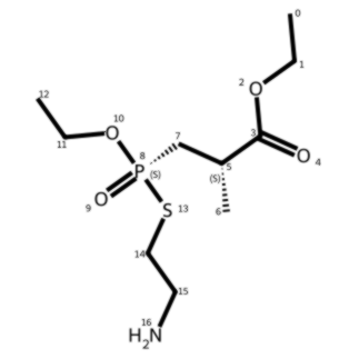 CCOC(=O)[C@H](C)C[P@](=O)(OCC)SCCN